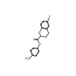 O=C(Oc1ccc([N+](=O)[O-])cc1)C1CCc2cc(F)ccc2O1